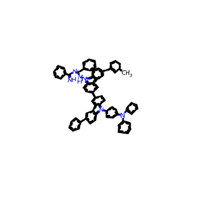 CC1C=C(c2ccc3c(c2)c2cc(-c4ccc5c(c4)c4cc(-c6ccccc6)ccc4n5-c4ccc(N(c5ccccc5)c5ccccc5)cc4)ccc2n3N/C(=N\C(=N)c2ccccc2)c2ccccc2)C=CC1